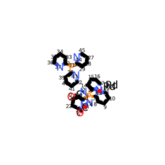 O=C=NP(N=C=O)(c1ccccn1)(c1ccccn1)c1ccccn1.[Pd].[Pd].c1ccc(P(c2ccccn2)c2ccccn2)nc1